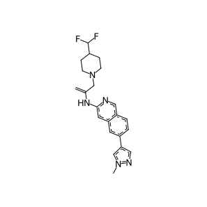 C=C(CN1CCC(C(F)F)CC1)Nc1cc2cc(-c3cnn(C)c3)ccc2cn1